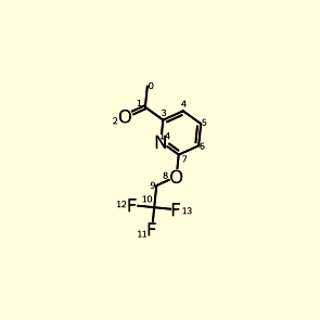 CC(=O)c1cccc(OCC(F)(F)F)n1